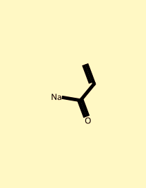 C=C[C](=O)[Na]